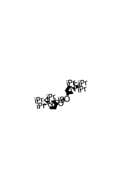 CC(C)[Si](C(C)C)(C(C)C)n1ccc(OBOc2ccn([Si](C(C)C)(C(C)C)C(C)C)c2)c1